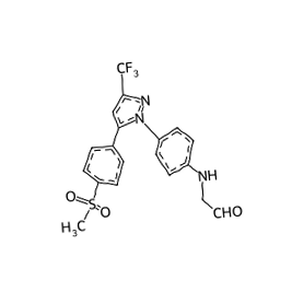 CS(=O)(=O)c1ccc(-c2cc(C(F)(F)F)nn2-c2ccc(NCC=O)cc2)cc1